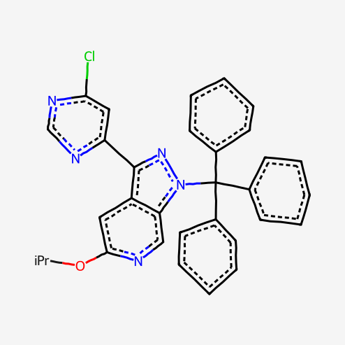 CC(C)Oc1cc2c(-c3cc(Cl)ncn3)nn(C(c3ccccc3)(c3ccccc3)c3ccccc3)c2cn1